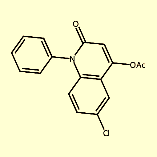 CC(=O)Oc1cc(=O)n(-c2ccccc2)c2ccc(Cl)cc12